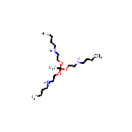 CCCCNCCOC(C)(OCCNCCCC)OCCNCCCC